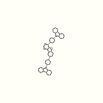 c1ccc2c(c1)c1ccccc1n2-c1ccc(-c2ccc3oc4c(-c5ccc(-n6c7ccccc7c7ccccc76)cc5)ncnc4c3c2)cc1